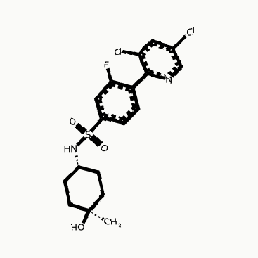 C[C@]1(O)CC[C@H](NS(=O)(=O)c2ccc(-c3ncc(Cl)cc3Cl)c(F)c2)CC1